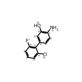 Nc1ccc(-c2c(F)cccc2Cl)cc1O